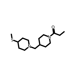 CCC(=O)N1CCC(CN2CCC(SC)CC2)CC1